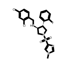 Cn1cnc(S(=O)(=O)N2C[C@@H](NCc3ccc(Cl)cc3Cl)[C@H](c3ccccc3F)C2)c1